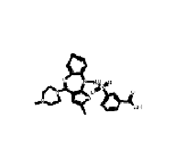 Cc1cc2c(s1)N(NS(=O)(=O)c1cccc(C(=O)O)c1)c1ccccc1N=C2N1CCN(C)CC1